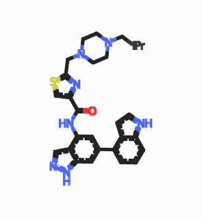 CC(C)CN1CCN(Cc2nc(C(=O)Nc3cc(-c4cccc5[nH]ccc45)cc4[nH]ncc34)cs2)CC1